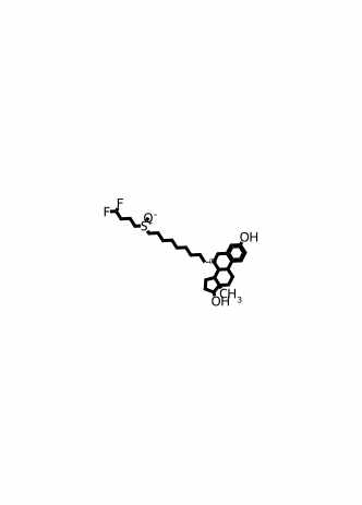 CC12CCC3c4ccc(O)cc4C[C@@H](CCCCCCCCC[S+]([O-])CCCC(F)F)C3C1CCC2O